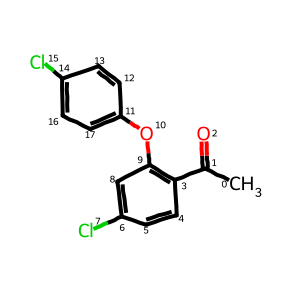 CC(=O)c1ccc(Cl)cc1Oc1ccc(Cl)cc1